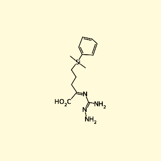 C[Si](C)(CCCC(=NC(N)=NN)C(=O)O)c1ccccc1